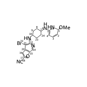 COC1C=CC=C(NC2CCC(Nc3ncc4oc(C#N)cc4c3Br)CC2)N1